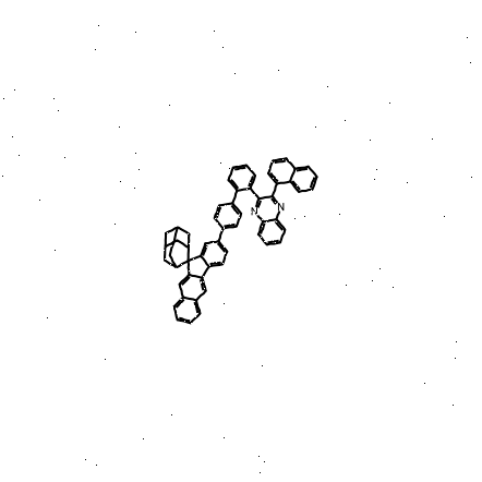 c1ccc(-c2nc3ccccc3nc2-c2cccc3ccccc23)c(-c2ccc(-c3ccc4c(c3)C3(c5cc6ccccc6cc5-4)C4CC5CC(C4)CC3C5)cc2)c1